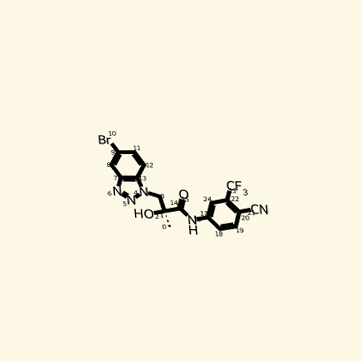 C[C@](O)(Cn1nnc2cc(Br)ccc21)C(=O)Nc1ccc(C#N)c(C(F)(F)F)c1